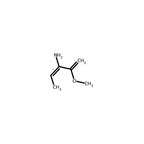 C=C(OC)/C(N)=C\C